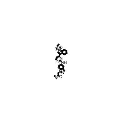 CCS(=O)(=O)n1cc(-c2ccnc(Nc3ccc4c(cnn4CC(=O)N(C)C)c3)n2)c2ccccc21